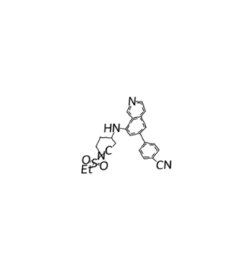 CCS(=O)(=O)N1CCC(Nc2cc(-c3ccc(C#N)cc3)cc3ccncc23)CC1